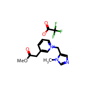 COC(=O)Cc1ccc[n+](Cc2cncn2C)c1.O=C([O-])C(F)(F)F